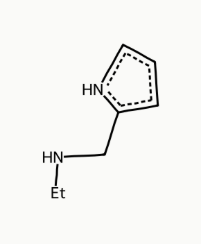 CCNCc1ccc[nH]1